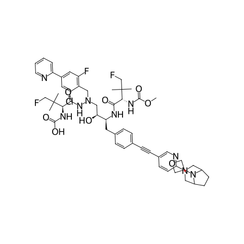 COC(=O)N[C@H](C(=O)N[C@@H](Cc1ccc(C#Cc2ccc(N3CC4CCC(C3)N4C3COC3)nc2)cc1)[C@@H](O)CN(Cc1c(F)cc(-c2ccccn2)cc1Cl)NC(=O)[C@@H](NC(=O)O)C(C)(C)CF)C(C)(C)CF